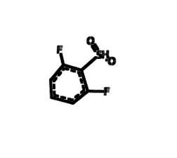 O=[SH](=O)c1c(F)cccc1F